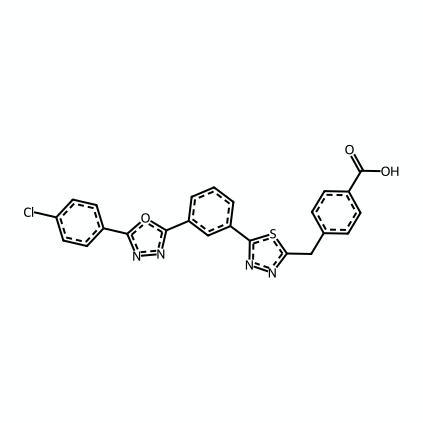 O=C(O)c1ccc(Cc2nnc(-c3cccc(-c4nnc(-c5ccc(Cl)cc5)o4)c3)s2)cc1